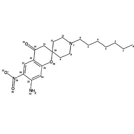 CCCCCCCN1CCC2(CC1)CC(=O)c1cc([N+](=O)[O-])c(N)cc1O2